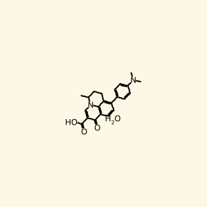 CC1CCc2c(-c3ccc(N(C)C)cc3)ccc3c(=O)c(C(=O)O)cn1c23.O